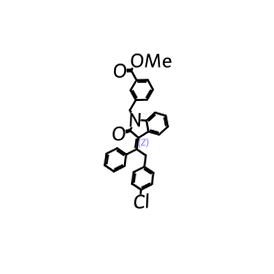 COC(=O)c1cccc(CN2C(=O)/C(=C(/Cc3ccc(Cl)cc3)c3ccccc3)c3ccccc32)c1